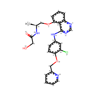 C[C@@H](COc1cccc2ncnc(Nc3ccc(OCc4ccccn4)c(Cl)c3)c12)NC(=O)CO